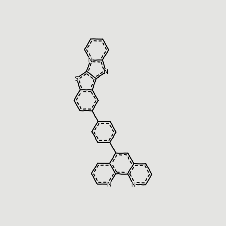 c1cnc2c(c1)cc(-c1ccc(-c3ccc4sc5c(nc6ccccn65)c4c3)cc1)c1cccnc12